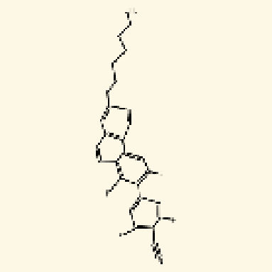 CCCCCCCc1ccc2c(ccc3c(F)c(-c4cc(F)c(C#N)c(F)c4)c(F)cc32)c1